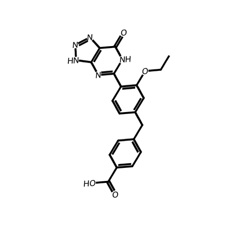 CCOc1cc(Cc2ccc(C(=O)O)cc2)ccc1-c1nc2[nH]nnc2c(=O)[nH]1